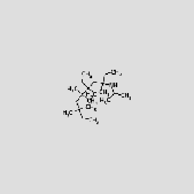 CCC(C)(C)CC(C)(C)C(C)(CC)CC(C)(CC)NC(C)C